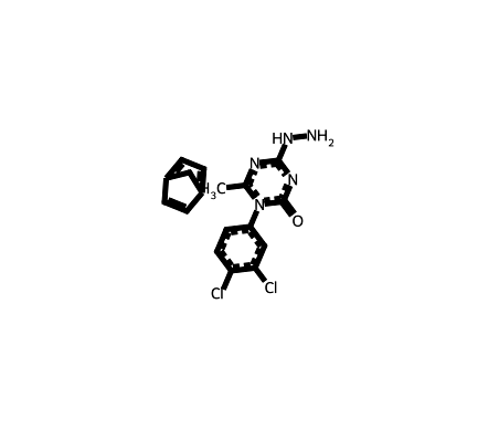 C1=CC2=CC=C1C2.Cc1nc(NN)nc(=O)n1-c1ccc(Cl)c(Cl)c1